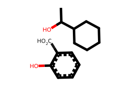 CC(O)C1CCCCC1.O=C(O)c1ccccc1O